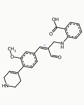 COc1cc(/C=C(\C=O)CNc2ccccc2C(=O)O)ccc1C1=CCNCC1